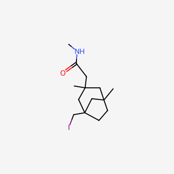 CNC(=O)CC1(C)CC2(C)CCC(CI)(C2)C1